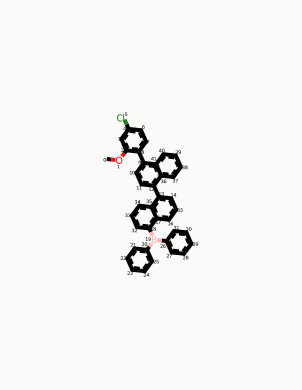 COc1cc(Cl)ccc1-c1ccc(-c2cccc3c(B(c4ccccc4)c4ccccc4)cccc23)c2ccccc12